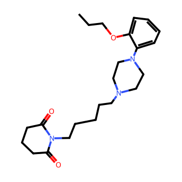 CCCOc1ccccc1N1CCN(CCCCCN2C(=O)CCCC2=O)CC1